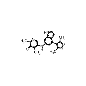 Cc1noc(C)c1-c1cc(Nc2cnn(C)c(=O)c2C)cc2[nH]ccc12